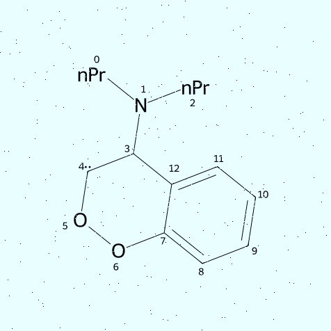 CCCN(CCC)C1[C]OOc2ccccc21